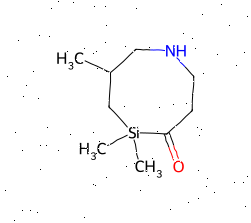 CC1CNCCC(=O)[Si](C)(C)C1